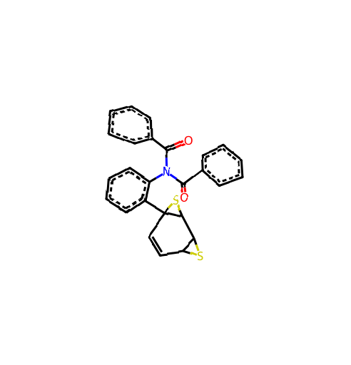 O=C(c1ccccc1)N(C(=O)c1ccccc1)c1ccccc1C12C=CC3SC3C1S2